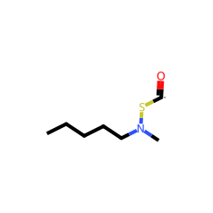 CCCCCN(C)S[C]=O